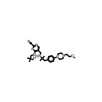 COCCN1CCN(c2ccc(CC(C)(C)NCc3cnc(C#N)nc3NCC(C)(C)C)cc2)CC1